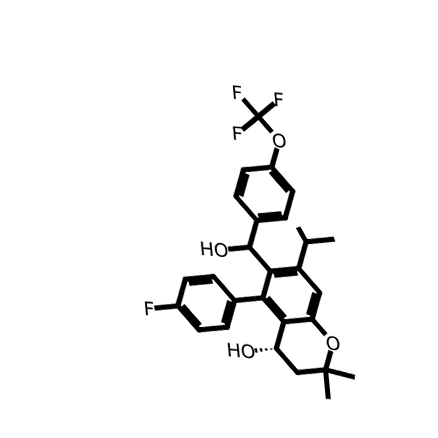 CC(C)c1cc2c(c(-c3ccc(F)cc3)c1C(O)c1ccc(OC(F)(F)F)cc1)[C@@H](O)CC(C)(C)O2